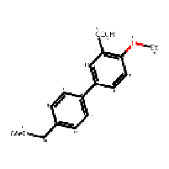 CCOc1ccc(-c2ccc(COC)cc2)cc1C(=O)O